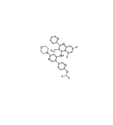 Cc1c(-c2ccccn2)nc2cc(F)cc(F)c2c1Nc1cc(N2CCOCC2)ncc1-c1ccc(OC(F)F)nc1